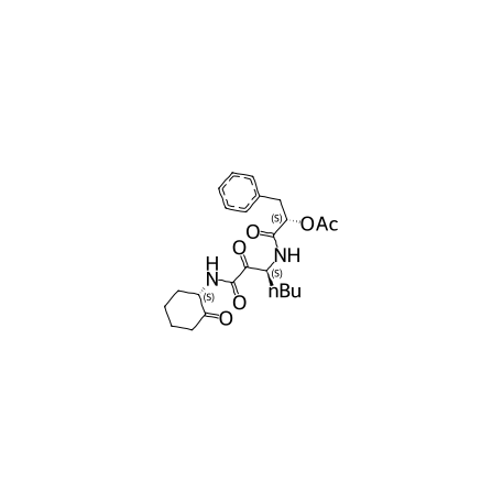 CCCC[C@H](NC(=O)[C@H](Cc1ccccc1)OC(C)=O)C(=O)C(=O)N[C@H]1CCCCC1=O